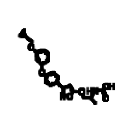 CC(COc1cc(-c2ccc(Oc3cccc(OCC4CC4)c3)cc2)no1)NC(=O)O